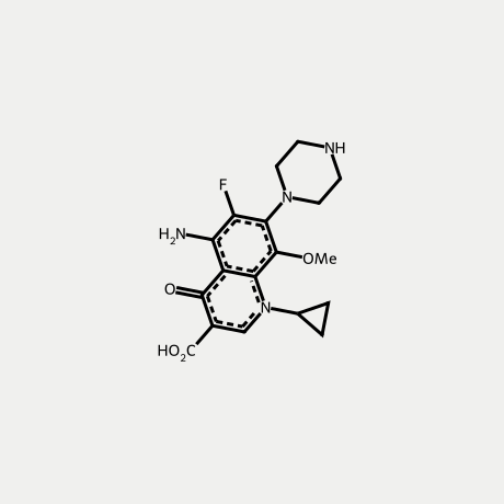 COc1c(N2CCNCC2)c(F)c(N)c2c(=O)c(C(=O)O)cn(C3CC3)c12